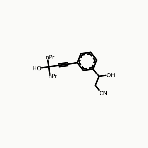 CCCC(O)(C#Cc1cccc(C(O)CC#N)c1)CCC